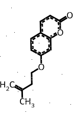 C=C(C)CCOc1ccc2ccc(=O)oc2c1